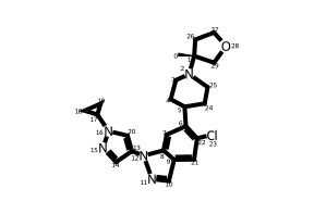 C[C@@]1(N2CCC(c3cc4c(cnn4-c4cnn(C5CC5)c4)cc3Cl)CC2)CCOC1